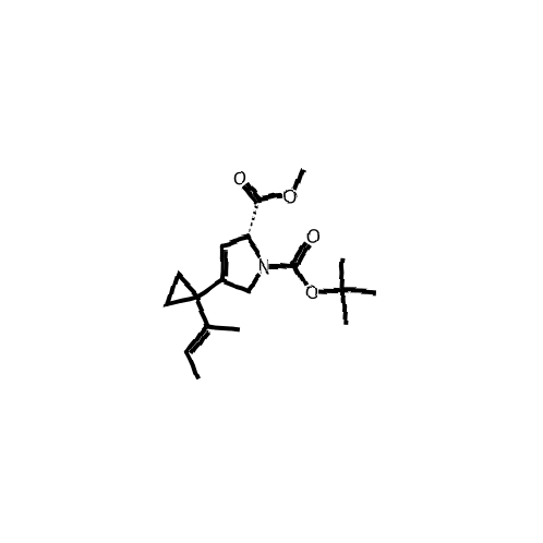 C/C=C(\C)C1(C2=C[C@H](C(=O)OC)N(C(=O)OC(C)(C)C)C2)CC1